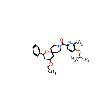 CCOC1CC(c2ccccc2)OC2(CCN(C(=O)c3ccc(OC(C)C)c(C)n3)CC2)C1